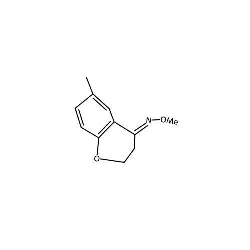 CON=C1CCOc2ccc(C)cc21